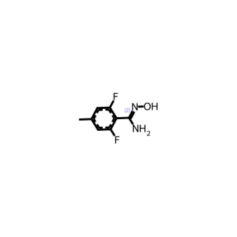 Cc1cc(F)c(/C(N)=N/O)c(F)c1